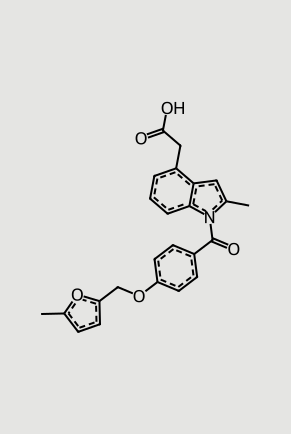 Cc1ccc(COc2ccc(C(=O)n3c(C)cc4c(CC(=O)O)cccc43)cc2)o1